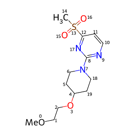 COCCOC1CCN(c2nccc(S(C)(=O)=O)n2)CC1